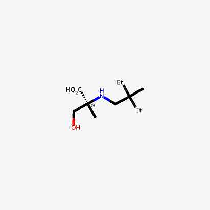 CCC(C)(CC)CN[C@@](C)(CO)C(=O)O